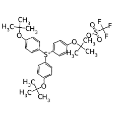 CC(C)(C)Oc1ccc([S+](c2ccc(OC(C)(C)C)cc2)c2ccc(OC(C)(C)C)cc2)cc1.O=S(=O)([O-])C(F)(F)F